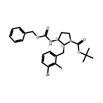 CC(C)(C)OC(=O)N1CC[C@H](NC(=O)OCc2ccccc2)[C@@H]1Cc1cccc(Br)c1F